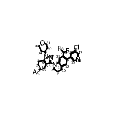 CC(=O)N1CCc2c(c(N3CCCc4cc(-c5cncc(Cl)c5)c(C(F)F)cc43)nn2C2CCOCC2)C1